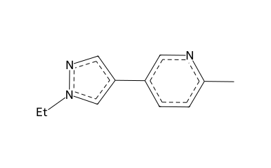 CCn1cc(-c2ccc(C)nc2)cn1